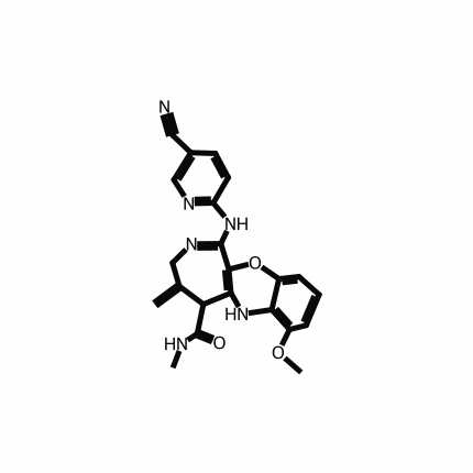 C=C1CN=C(Nc2ccc(C#N)cn2)C2=C(Nc3c(OC)cccc3O2)C1C(=O)NC